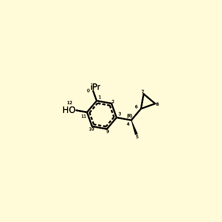 CC(C)c1cc([C@H](C)C2CC2)ccc1O